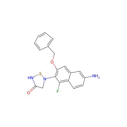 Nc1ccc2c(F)c(N3CC(=O)NS3)c(OCc3ccccc3)cc2c1